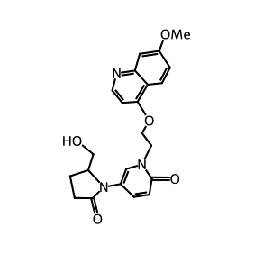 COc1ccc2c(OCCn3cc(N4C(=O)CCC4CO)ccc3=O)ccnc2c1